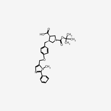 Cn1c(COc2ccc(C[C@@H]3CN(C(=O)OC(C)(C)C)C[C@@H]3C(=O)O)cc2)cnc1-c1ccccc1